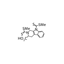 CSC(=S)N1Cc2c(c3ccccc3n2C(=S)SC)C[C@H]1C(=O)O